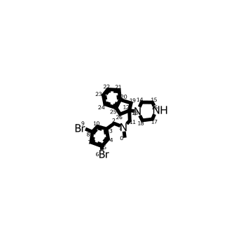 CN(Cc1cc(Br)cc(Br)c1)CC1(N2CCNCC2)Cc2ccccc2C1